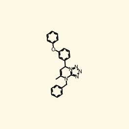 CC1=CC(c2cccc(Oc3ccccc3)c2)n2nnnc2N1Cc1ccccc1